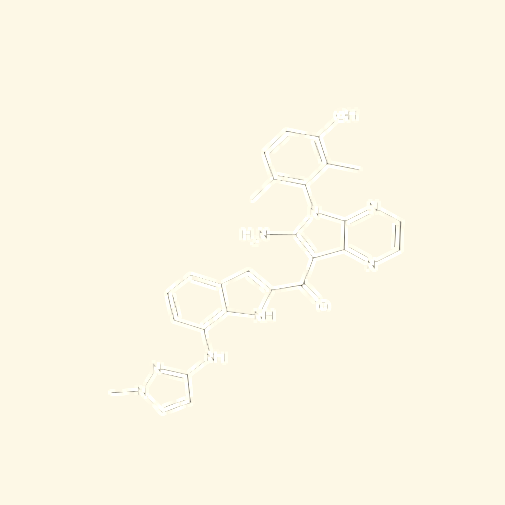 Cc1ccc(O)c(C)c1-n1c(N)c(C(=O)c2cc3cccc(Nc4ccn(C)n4)c3[nH]2)c2nccnc21